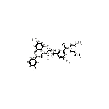 CCCN(CCC)C(=O)c1cc(C)cc(C(=O)N[C@@H](Cc2cc(O)cc(F)c2)[C@H](O)CNCc2cccc(I)c2)c1